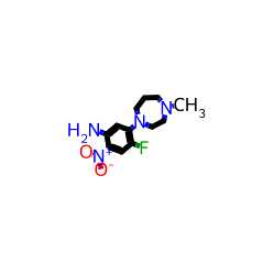 CN1CCCN(c2cc(N)c([N+](=O)[O-])cc2F)CC1